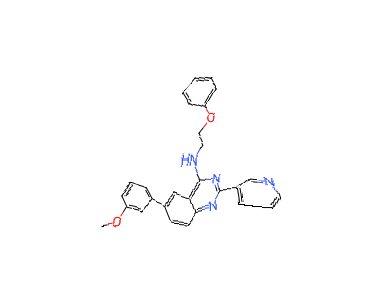 COc1cccc(-c2ccc3nc(-c4cccnc4)nc(NCCOc4ccccc4)c3c2)c1